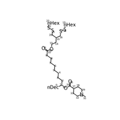 CCCCCCCCCCC(CCCCCCCCC(=O)OCCC(CSSCCCCCC)CSSCCCCCC)OC(=O)C1CCN(C)CC1